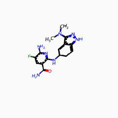 CN(C)c1n[nH]c2c1=CC(Nc1nc(N)c(F)cc1C(N)=O)CC=2